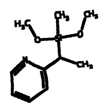 CO[Si](C)(OC)C(C)c1ccccn1